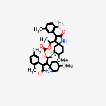 COC1CCC2(CC1)NC(=O)C(c1cc(C)ccc1C)=C2C(C)OC(=O)OC(C)C1=C(c2cc(C)ccc2C)C(=O)NC12CCC(OC)CC2